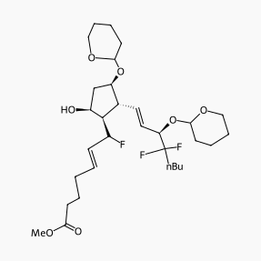 CCCCC(F)(F)[C@@H](C=C[C@@H]1[C@@H](C(F)C=CCCCC(=O)OC)[C@@H](O)C[C@H]1OC1CCCCO1)OC1CCCCO1